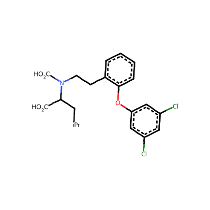 CC(C)CC(C(=O)O)N(CCc1ccccc1Oc1cc(Cl)cc(Cl)c1)C(=O)O